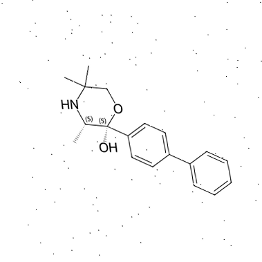 C[C@@H]1NC(C)(C)CO[C@@]1(O)c1ccc(-c2ccccc2)cc1